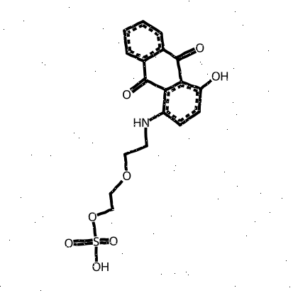 O=C1c2ccccc2C(=O)c2c(NCCOCCOS(=O)(=O)O)ccc(O)c21